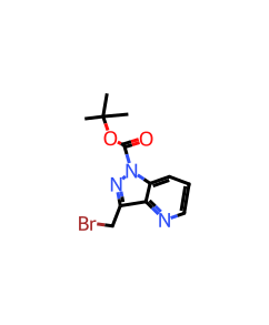 CC(C)(C)OC(=O)n1nc(CBr)c2ncccc21